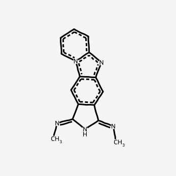 C/N=C1\N/C(=N\C)c2cc3c(cc21)nc1ccccn13